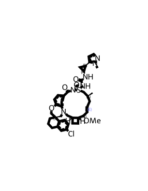 CO[C@H]1/C=C/C[C@H](C)CS(=O)(NC(=O)N[C@@H]2C[C@H]2c2ccnn2C)=NC(=O)c2ccc3c(c2)N(C[C@@H]2CC[C@H]21)C[C@@]1(CCCc2cc(Cl)ccc21)CO3